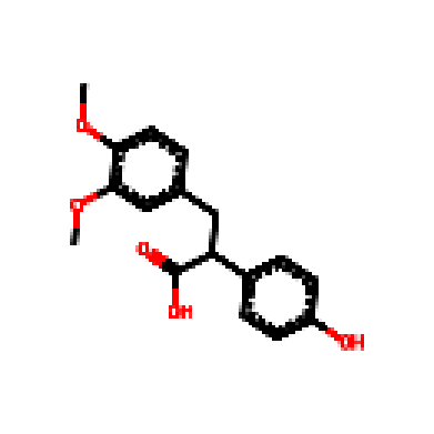 COc1ccc(CC(C(=O)O)c2ccc(O)cc2)cc1OC